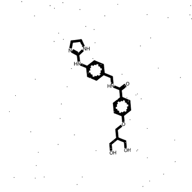 O=C(NCc1ccc(NC2=NCCN2)cc1)c1ccc(OCC(CO)CO)cc1